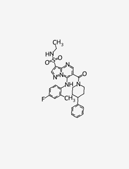 CCNS(=O)(=O)c1cnn2c(Nc3ccc(F)cc3C)c(C(=O)N3CCC(c4ccccc4)CC3)cnc12